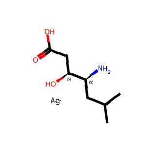 CC(C)C[C@H](N)[C@@H](O)CC(=O)O.[Ag]